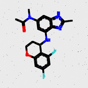 CC(=O)N(C)c1cc(NC2CCOc3cc(F)cc(F)c32)c2nc(C)[nH]c2c1